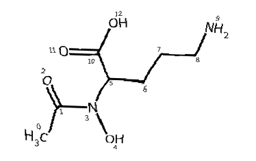 CC(=O)N(O)C(CCCN)C(=O)O